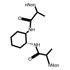 CCCCCCCCCC(C)C(=O)N[C@@H]1CCCC[C@H]1NC(=O)C(C)CCCCCCCCC